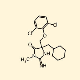 CN1C(=N)NC(COc2c(Cl)cccc2Cl)(CC2CCCCC2)C1=O